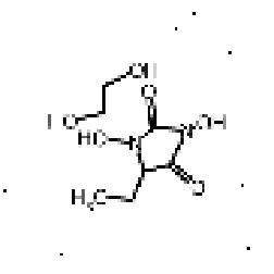 CCC1C(=O)N(O)C(=O)N1O.OCCO